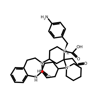 Nc1ccc(C[N@+]2(C(=O)O)CCC(N3CCc4ccccc4NC3=O)CC2(CC=O)[N+]2(C3CCNCC3)CCCCC2)cc1